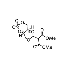 COC(=O)C(C(=O)OC)C1OC[C@@H]2OS(=O)(=O)OC[C@H]2O1